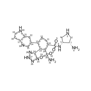 N[C@H]1CNC[C@H]1NS(=O)(=O)c1ccc(-c2cnc3cc[nH]c3c2)c(-c2nn[nH]n2)c1S(N)(=O)=O